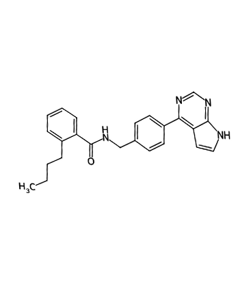 CCCCc1ccccc1C(=O)NCc1ccc(-c2ncnc3[nH]ccc23)cc1